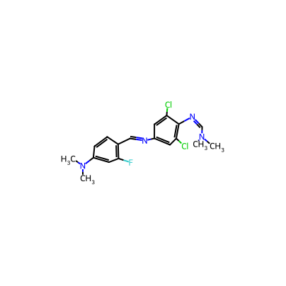 CN(C)/C=N\c1c(Cl)cc(/N=C/c2ccc(N(C)C)cc2F)cc1Cl